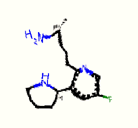 C[C@@H](N)CCc1ncc(F)cc1[C@H]1CCCN1